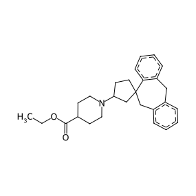 CCOC(=O)C1CCN(C2CCC3(Cc4ccccc4Cc4ccccc43)C2)CC1